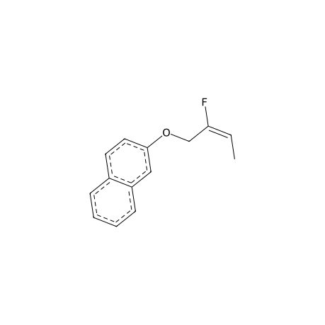 C/C=C(/F)COc1ccc2ccccc2c1